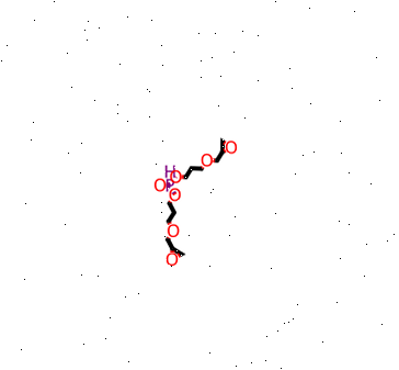 O=[PH](OCCCOCC1CO1)OCCCOCC1CO1